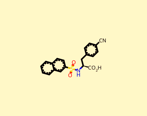 N#Cc1ccc(C[C@H](NS(=O)(=O)c2ccc3ccccc3c2)C(=O)O)cc1